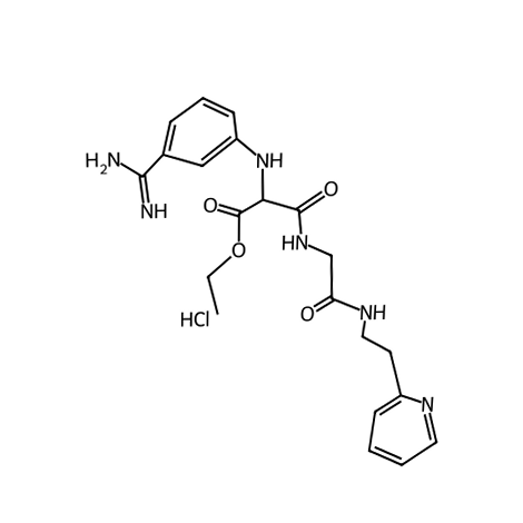 CCOC(=O)C(Nc1cccc(C(=N)N)c1)C(=O)NCC(=O)NCCc1ccccn1.Cl